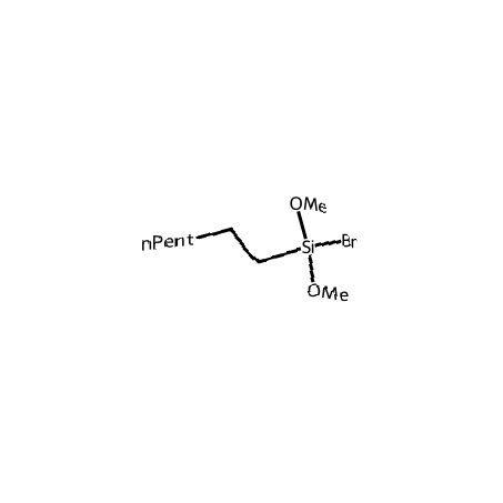 CCCCCCC[Si](Br)(OC)OC